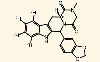 [2H]c1c([2H])c([2H])c2c3c([nH]c2c1[2H])C(c1ccc2c(c1)OCO2)N1C(=O)CN(C)C(=O)[C@H]1C3